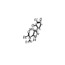 CCC(=O)N(C(=O)CC)c1[nH]nc(-c2ccc(Cl)c(Cl)c2Cl)c1C#N